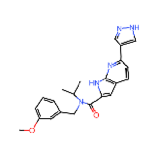 COc1cccc(CN(C(=O)c2cc3ccc(-c4cn[nH]c4)nc3[nH]2)C(C)C)c1